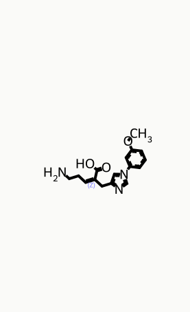 COc1cccc(-n2cnc(C/C(=C/CCN)C(=O)O)c2)c1